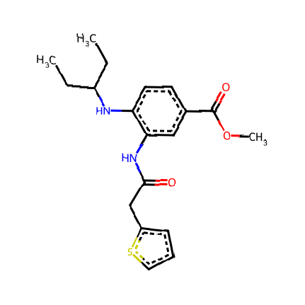 CCC(CC)Nc1ccc(C(=O)OC)cc1NC(=O)Cc1cccs1